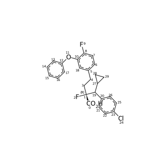 O=C(O)[C@@](F)(CCc1ccc(F)c(Oc2ccccc2)c1)C(c1ccc(Cl)cc1)C1CC1